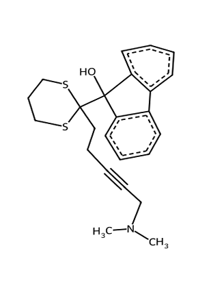 CN(C)CC#CCCC1(C2(O)c3ccccc3-c3ccccc32)SCCCS1